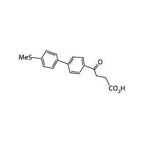 CSc1ccc(-c2ccc(C(=O)CCC(=O)O)cc2)cc1